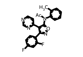 CC(=O)N(c1ccccc1C)c1onc(-c2ccc(F)cc2F)c1-c1ccncn1